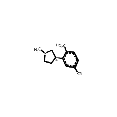 CN1CC[C@H](c2cc(C#N)ccc2C(=O)O)C1